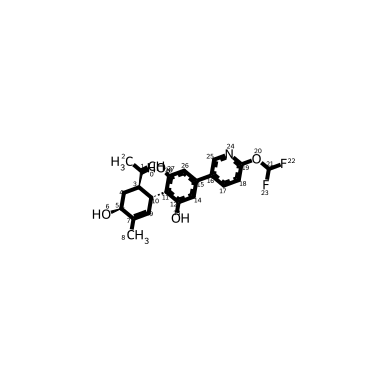 C=C(C)[C@@H]1C[C@H](O)C(C)=C[C@H]1c1c(O)cc(-c2ccc(OC(F)F)nc2)cc1O